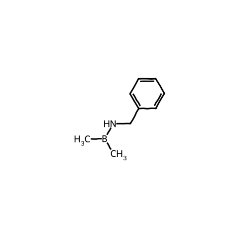 CB(C)NCc1ccccc1